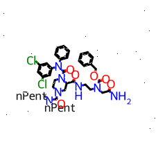 CCCCCN(CCCCC)C(=O)N1CCN(C(=O)N(c2ccccc2)c2cc(Cl)cc(Cl)c2)C(C(=O)NCCN(CC(N)=O)C(=O)OCc2ccccc2)C1